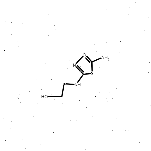 Nc1nnc(NCCO)s1